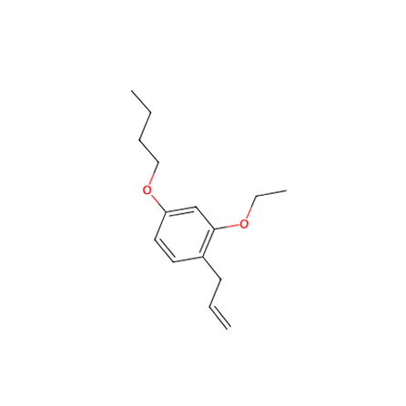 C=CCc1ccc(OCCCC)cc1OCC